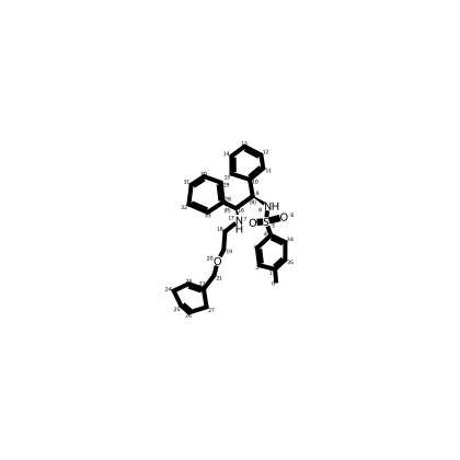 Cc1ccc(S(=O)(=O)N[C@H](c2ccccc2)[C@H](NCCOCC2=CCC=CC2)c2ccccc2)cc1